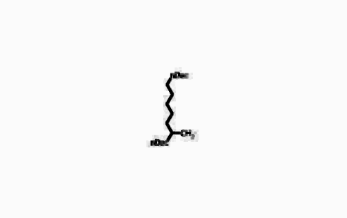 [CH2]C(CCCCCCCCCC)CCCCCCCCCCCCCCC